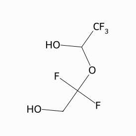 OCC(F)(F)OC(O)C(F)(F)F